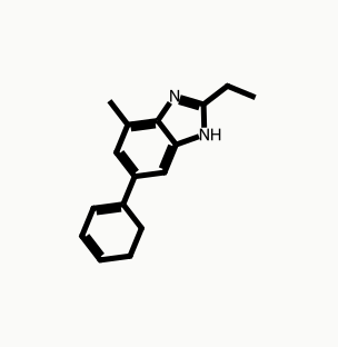 CCc1nc2c(C)cc(C3=CC=CCC3)cc2[nH]1